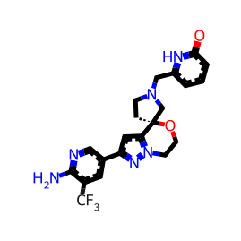 Nc1ncc(-c2cc3n(n2)CCO[C@@]32CCN(Cc3cccc(=O)[nH]3)C2)cc1C(F)(F)F